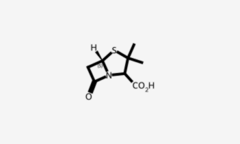 CC1(C)S[C@H]2CC(=O)N2C1C(=O)O